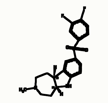 CN1CC[C@H]2Nc3ccc(S(=O)(=O)c4ccc(F)c(F)c4)cc3[C@@H]2CC1